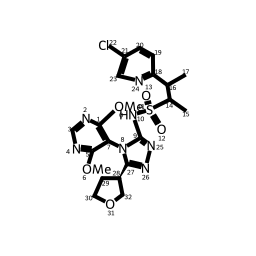 COc1ncnc(OC)c1-n1c(NS(=O)(=O)C(C)C(C)c2ccc(Cl)cn2)nnc1[C@@H]1CCOC1